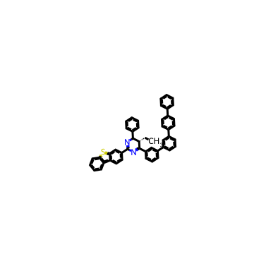 CC[C@@H]1C(c2cccc(-c3cccc(-c4ccc(-c5ccccc5)cc4)c3)c2)=NC(c2ccc3c(c2)sc2ccccc23)=NC1c1ccccc1